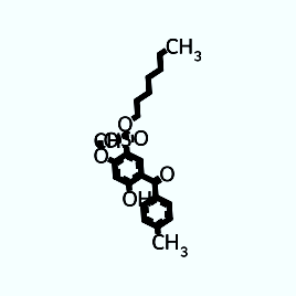 CCCCCCCOS(=O)(=O)c1cc(C(=O)c2ccc(C)cc2)c(O)cc1OC